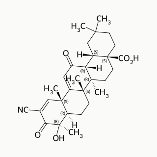 CC1(C)CC[C@]2(C(=O)O)CC[C@]3(C)[C@H](C(=O)C=C4[C@@]5(C)C=C(C#N)C(=O)[C@](C)(O)[C@@H]5CC[C@]43C)[C@@H]2C1